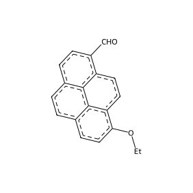 CCOc1ccc2ccc3ccc(C=O)c4ccc1c2c34